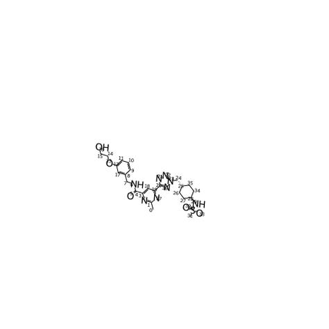 Cc1nc(C(=O)NCc2cccc(OCCO)c2)cc(-c2nnn(C[C@H]3CC[C@H](NS(C)(=O)=O)CC3)n2)n1